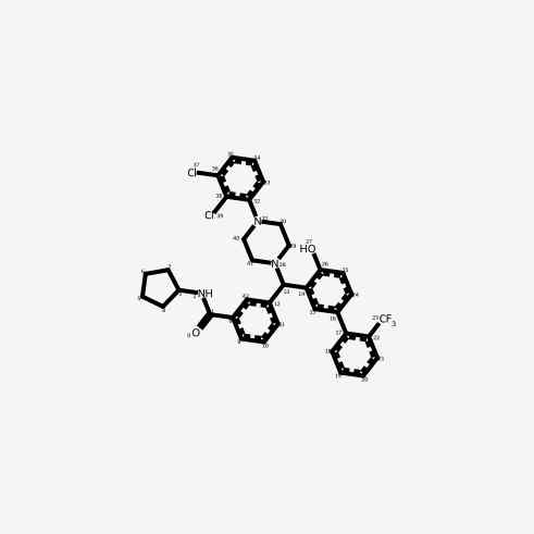 O=C(NC1CCCC1)c1cccc(C(c2cc(-c3ccccc3C(F)(F)F)ccc2O)N2CCN(c3cccc(Cl)c3Cl)CC2)c1